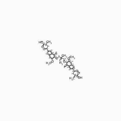 COc1cc2sc(C(=O)C[C@H](C)C(=O)O)cc2c(F)c1OCC(C)(C)COc1c(OC)cc2sc(C(=O)C[C@H](C)C(=O)O)cc2c1F